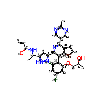 C=CC(=O)NC(C)c1cc(-c2nc(-c3cnc(C)nc3)c3ccsc3c2-c2c(F)cc(F)cc2OCC(C)O)n[nH]1